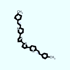 Cc1ccc(/C=C/c2ccc(-c3ccc(-c4ccc(-c5ccc(/C=C/c6ccc(C)cc6)nc5)s4)s3)cn2)cc1